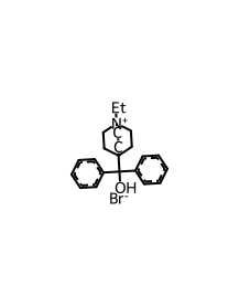 CC[N+]12CCC(C(O)(c3ccccc3)c3ccccc3)(CC1)CC2.[Br-]